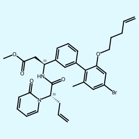 C=CCCCOc1cc(Br)cc(C)c1-c1cccc([C@H](CC(=O)OC)NC(=O)[C@H](CC=C)n2ccccc2=O)c1